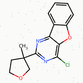 CC1(c2nc(Cl)c3oc4ccccc4c3n2)CCOC1